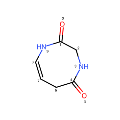 O=C1CNC(=O)CC=CN1